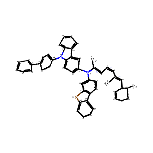 CC(/C=C\C=C(/C)N(c1ccc2c3c(sc2c1)=CCCC=3)c1ccc2c(c1)c1ccccc1n2C1=CC=C(c2ccccc2)CC1)=C\C1C=CCCC1C